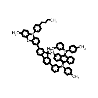 CCCCc1ccc(N2c3ccc(C)cc3Oc3cc(-c4ccc5c(c4)C(C)(C)c4cc(-c6cccc(N(c7ccc(C)cc7)c7c8ccccc8c(N(c8ccc(C)cc8)c8cccc(C)c8)c8ccccc78)c6)ccc4-5)ccc32)cc1